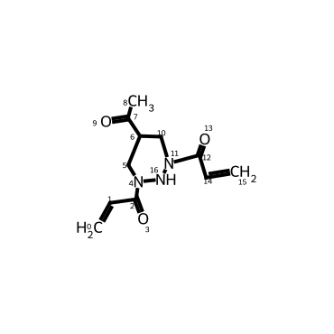 C=CC(=O)N1CC(C(C)=O)CN(C(=O)C=C)N1